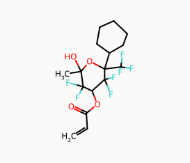 C=CC(=O)OC1C(F)(F)C(C)(O)OC(C2CCCCC2)(C(F)(F)F)C1(F)F